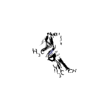 C#CCN(CC)c1ccc(/N=N/c2n(C)cn[n+]2C)cc1